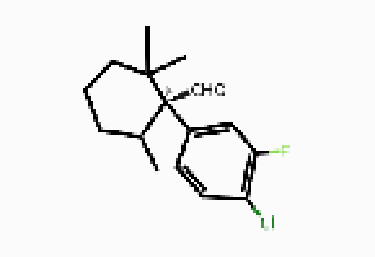 CC1CCCC(C)(C)[C@]1(C=O)c1ccc(Cl)c(F)c1